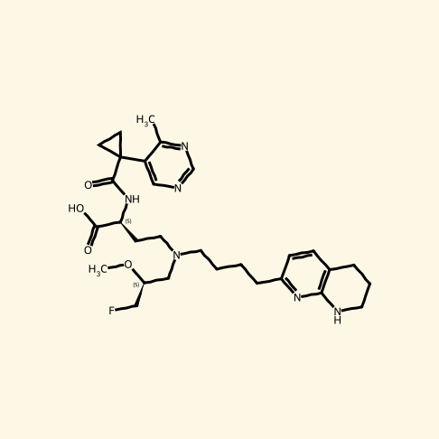 CO[C@H](CF)CN(CCCCc1ccc2c(n1)NCCC2)CC[C@H](NC(=O)C1(c2cncnc2C)CC1)C(=O)O